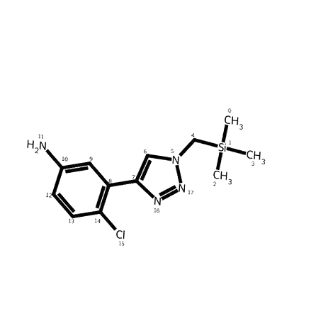 C[Si](C)(C)Cn1cc(-c2cc(N)ccc2Cl)nn1